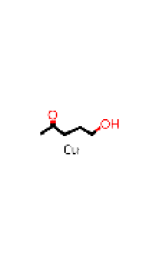 CC(=O)CCCO.[Cu]